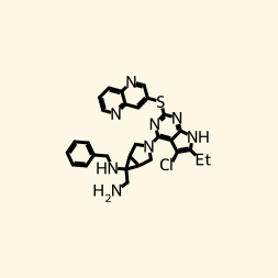 CCc1[nH]c2nc(Sc3cnc4cccnc4c3)nc(N3CC4C(C3)C4(CN)NCc3ccccc3)c2c1Cl